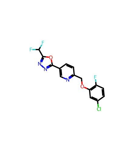 Fc1ccc(Cl)cc1OCc1ccc(-c2nnc(C(F)F)o2)cn1